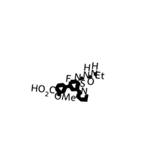 CCNC(=O)Nc1nc2c(F)c(-c3ccc(C(=O)O)c(OC)c3)cc(-c3ccccn3)c2s1